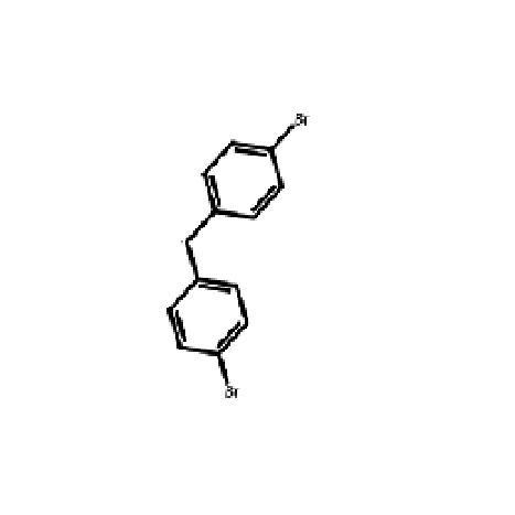 Brc1ccc([CH]c2ccc(Br)cc2)cc1